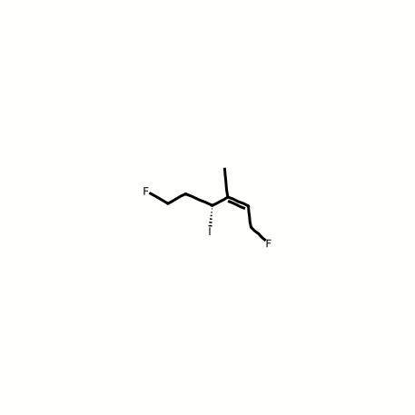 C/C(=C/CF)[C@H](I)CCF